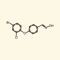 O/N=C/c1ccc(Oc2ccc(Br)cc2Cl)cc1